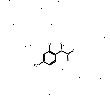 CCN(C)[S+]([O-])c1ccc(C(F)(F)F)cc1Cl